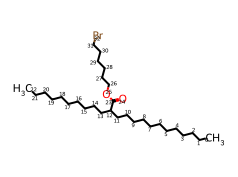 CCCCCCCCCCCCC(CCCCCCCCCC)C(=O)OCCCCCCBr